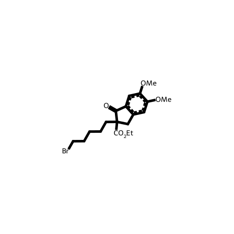 CCOC(=O)C1(CCCCCBr)Cc2cc(OC)c(OC)cc2C1=O